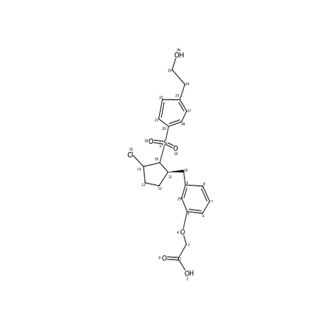 O=C(O)COc1cccc(C[C@H]2CCC(Cl)C2S(=O)(=O)c2ccc(CCO)cc2)c1